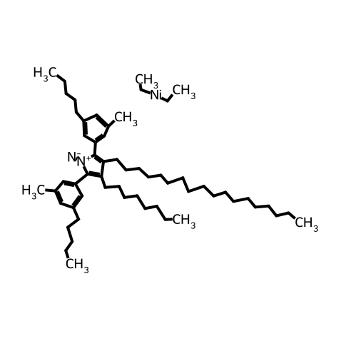 CCCCCCCCCCCCCCCCCCC1=C(c2cc(C)cc(CCCCC)c2)[N+](=[N-])C(c2cc(C)cc(CCCCC)c2)=C1CCCCCCCC.C[CH2][Ni][CH2]C